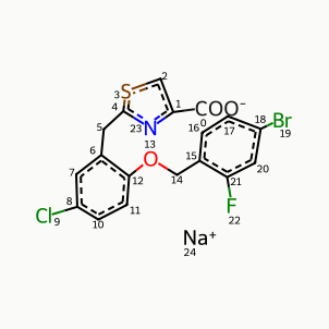 O=C([O-])c1csc(Cc2cc(Cl)ccc2OCc2ccc(Br)cc2F)n1.[Na+]